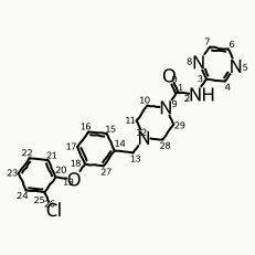 O=C(Nc1cnccn1)N1CCN(Cc2cccc(Oc3ccccc3Cl)c2)CC1